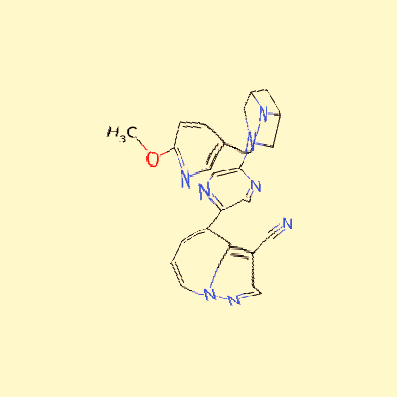 COc1ccc(CN2C3CC2CN(c2cnc(-c4cccn5ncc(C#N)c45)cn2)C3)cn1